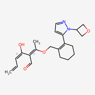 C=C/C=C(O)\C(C=O)=C(/C)OCC1=C(c2ccnn2C2COC2)CCCC1